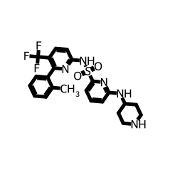 Cc1ccccc1-c1nc(NS(=O)(=O)c2cccc(NC3CCNCC3)n2)ccc1C(F)(F)F